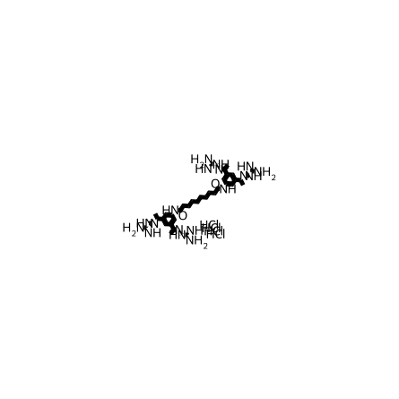 CC(=NNC(=N)N)c1cc(NC(=O)CCCCCCCCC(=O)Nc2cc(C(C)=NNC(=N)N)cc(C(C)=NNC(=N)N)c2)cc(C(C)=NNC(=N)N)c1.Cl.Cl.Cl.Cl